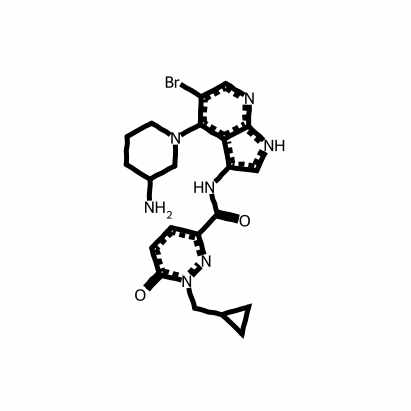 NC1CCCN(c2c(Br)cnc3[nH]cc(NC(=O)c4ccc(=O)n(CC5CC5)n4)c23)C1